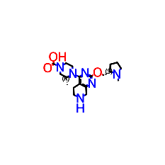 C[C@@H]1CN(C(=O)O)CCN1c1nc(OC[C@@H]2CCCN2C)nc2c1CCNC2